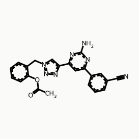 CC(=O)Oc1ccccc1Cn1cc(-c2cc(-c3cccc(C#N)c3)nc(N)n2)nn1